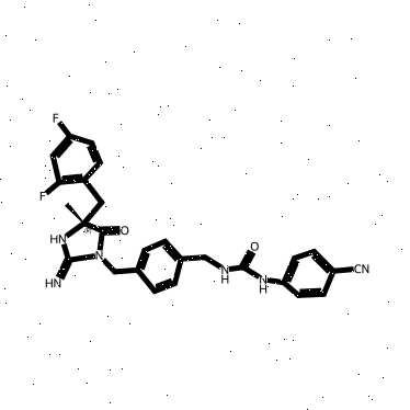 C[C@]1(Cc2ccc(F)cc2F)NC(=N)N(Cc2ccc(CNC(=O)Nc3ccc(C#N)cc3)cc2)C1=O